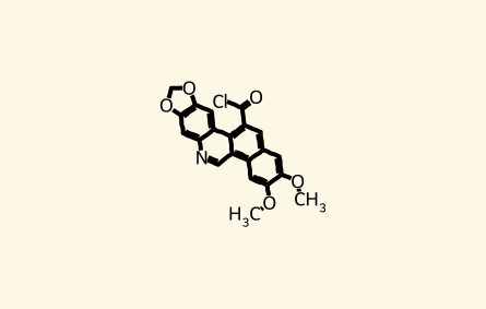 COc1cc2cc(C(=O)Cl)c3c4cc5c(cc4ncc3c2cc1OC)OCO5